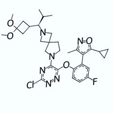 COC1(OC)CC([C@@H](C(C)C)N2CC3(CCN(c4nc(Cl)nnc4Oc4ccc(F)cc4-c4c(C)noc4C4CC4)C3)C2)C1